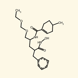 CCOCOCC(CC(Cc1ccccc1)C(=O)NO)NC(=O)C1=CCC(C)CC1